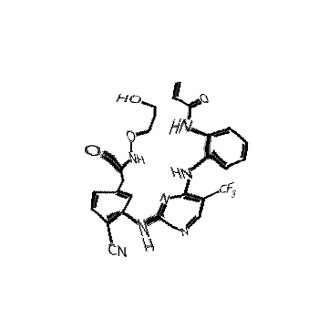 C=CC(=O)Nc1ccccc1Nc1nc(Nc2cc(C(=O)NOCCO)ccc2C#N)ncc1C(F)(F)F